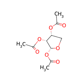 CC(=O)O[C@H]1OC[C@@H](OC(C)=O)[C@H]1OC(C)=O